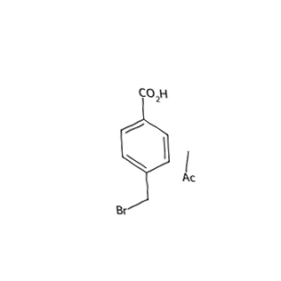 CC(C)=O.O=C(O)c1ccc(CBr)cc1